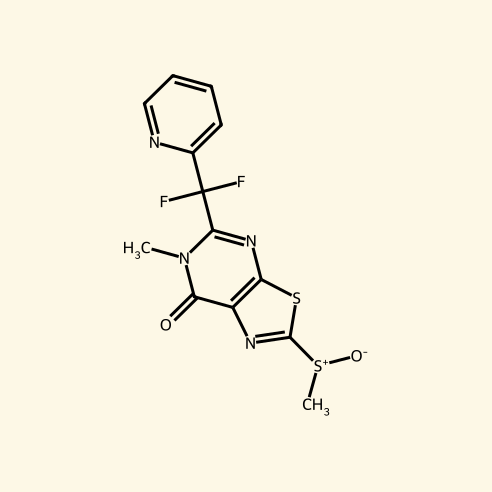 Cn1c(C(F)(F)c2ccccn2)nc2sc([S+](C)[O-])nc2c1=O